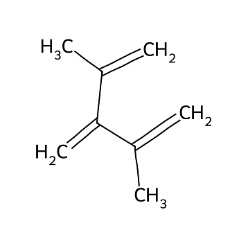 C=C(C)C(=C)C(=C)C